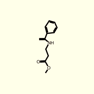 C=C(NCCC(=O)OC)c1ccccc1